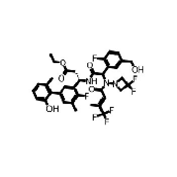 CCOC(=O)C[C@H](NC(=O)C(c1cc(CO)ccc1F)N(C(=O)/C=C(\C)C(F)(F)F)N1CC(F)(F)C1)c1cc(-c2c(C)cccc2O)cc(C)c1F